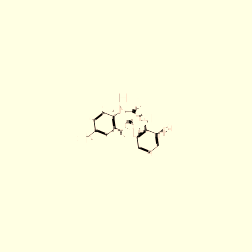 O=S(=O)(Nc1ccc(Cl)cc1O)Nc1ccccc1Br